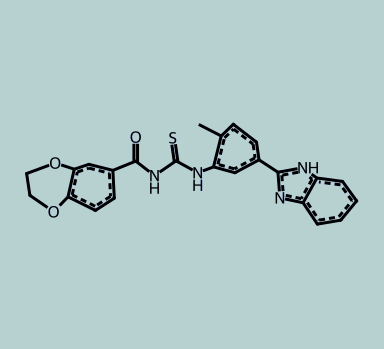 Cc1ccc(-c2nc3ccccc3[nH]2)cc1NC(=S)NC(=O)c1ccc2c(c1)OCCO2